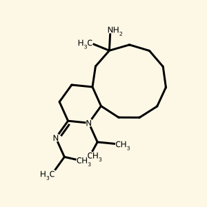 CC(C)/N=C1/CCC2CC(C)(N)CCCCCCCC2N1C(C)C